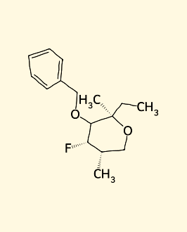 CC[C@@]1(C)OC[C@H](C)[C@H](F)C1OCc1ccccc1